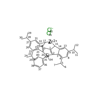 CC1=C2c3c(C(C)C)cc(C(C)C)cc3[CH]1[Zr+2][CH]1C(C)=C(c3c(C(C)C)cc(C(C)C)cc31)[Si]2(C)c1ccccc1.[Cl-].[Cl-]